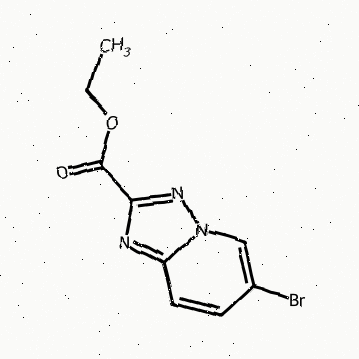 CCOC(=O)c1nc2ccc(Br)cn2n1